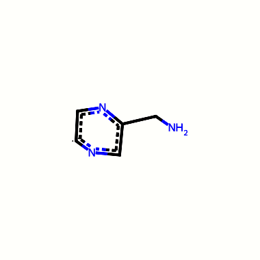 NCc1cn[c]cn1